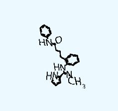 CN=C(Nc1ccccc1CCCC(=O)Nc1ccccc1)c1ccc[nH]1